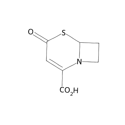 O=C1C=C(C(=O)O)N2CCC2S1